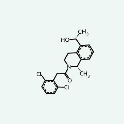 C[C@@H](O)c1cccc2c1CCN(C(=O)Cc1c(Cl)cccc1Cl)[C@H]2C